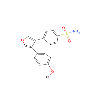 CCOc1ccc(-c2cocc2-c2ccc(S(N)(=O)=O)cc2)cc1